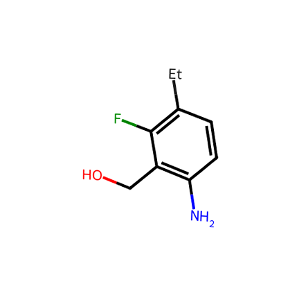 CCc1ccc(N)c(CO)c1F